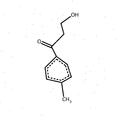 Cc1ccc(C(=O)CCO)cc1